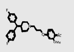 COc1cc(OCCCN2CCC(C(c3ccc(F)cc3)c3ccc(F)cc3)CC2)ccc1C(C)=O